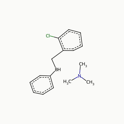 CN(C)C.Clc1ccccc1CBc1ccccc1